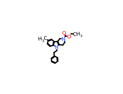 CCOC(=O)N1CCc2c(c3cc(C)ccc3n2CCc2ccccc2)C1